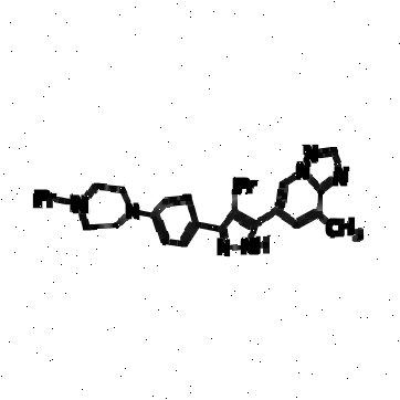 Cc1cc(-c2[nH]nc(-c3ccc(N4CCN(C(C)C)CC4)cc3)c2C(C)C)cn2ncnc12